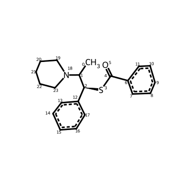 CC([C@@H](SC(=O)c1ccccc1)c1ccccc1)N1CCCCC1